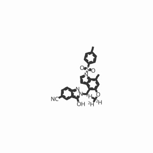 [2H]C([2H])([2H])Oc1cc(C)c2c(ccn2S(=O)(=O)c2ccc(C)cc2)c1Cn1nc2ccc(C#N)cc2c1O